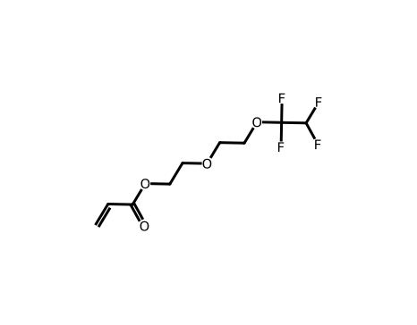 C=CC(=O)OCCOCCOC(F)(F)C(F)F